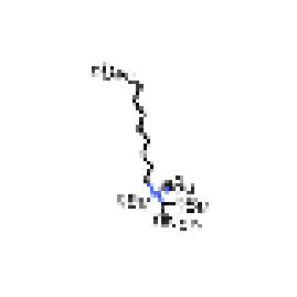 CCCCCCCCCCCCCCCCCC[N+](CCCC)(CCCC)C(CCCC)CCCCCCCCC